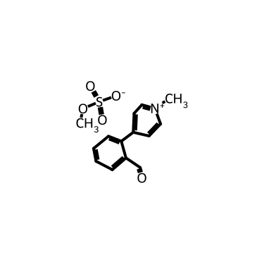 COS(=O)(=O)[O-].C[n+]1ccc(-c2ccccc2C=O)cc1